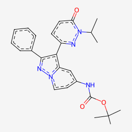 CC(C)n1nc(-c2c(-c3ccccc3)nn3ccc(NC(=O)OC(C)(C)C)cc23)ccc1=O